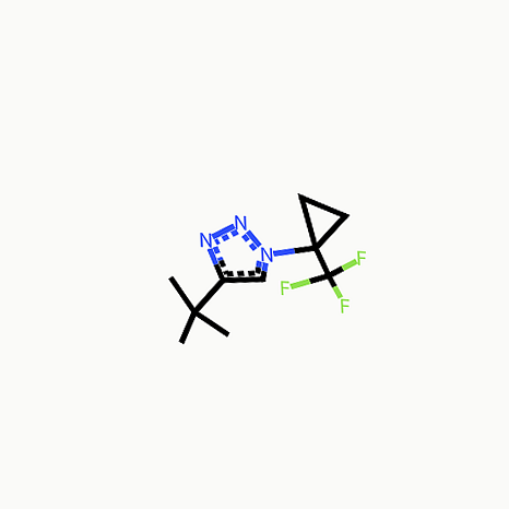 CC(C)(C)c1cn(C2(C(F)(F)F)CC2)nn1